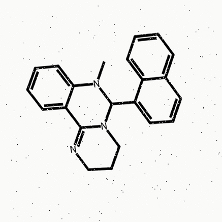 CN1c2ccccc2C2=NCCCN2C1c1cccc2ccccc12